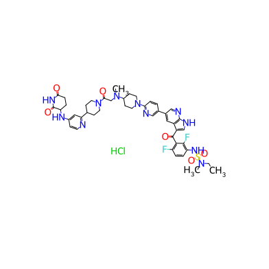 CCN(C)S(=O)(=O)Nc1ccc(F)c(C(=O)c2c[nH]c3ncc(-c4ccc(N5CCC(N(C)CC(=O)N6CCC(c7cc(NC8CCC(=O)NC8=O)ccn7)CC6)CC5)nc4)cc23)c1F.Cl